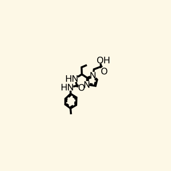 CCC(NC(=O)Nc1ccc(C)cc1)c1nccn1CC(=O)O